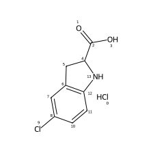 Cl.O=C(O)C1Cc2cc(Cl)ccc2N1